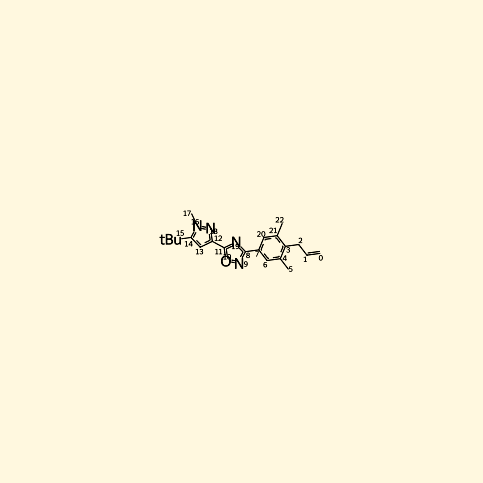 C=CCc1c(C)cc(-c2noc(-c3cc(C(C)(C)C)n(C)n3)n2)cc1C